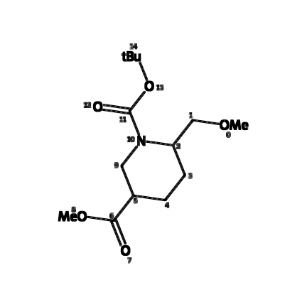 COCC1CCC(C(=O)OC)CN1C(=O)OC(C)(C)C